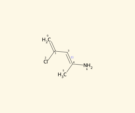 C=C(Cl)/C=C(\C)N